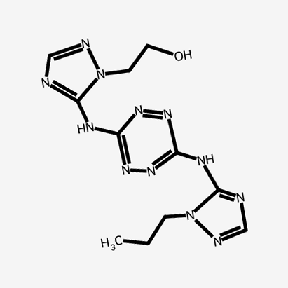 CCCn1ncnc1Nc1nnc(Nc2ncnn2CCO)nn1